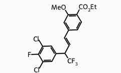 CCOC(=O)c1ccc(/C=C/C(c2cc(Cl)c(F)c(Cl)c2)C(F)(F)F)cc1OC